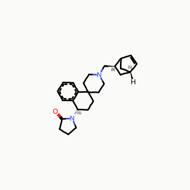 O=C1CCCN1[C@H]1CCC2(CCN(C[C@@H]3C[C@H]4C=CC3C4)CC2)c2ccccc21